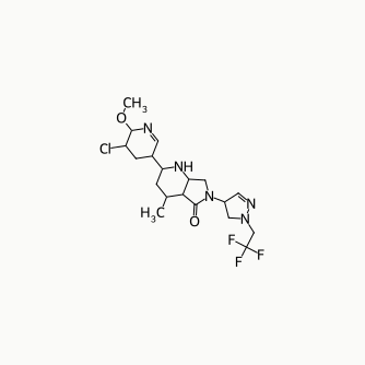 COC1N=CC(C2CC(C)C3C(=O)N(C4C=NN(CC(F)(F)F)C4)CC3N2)CC1Cl